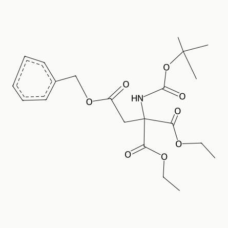 CCOC(=O)C(CC(=O)OCc1ccccc1)(NC(=O)OC(C)(C)C)C(=O)OCC